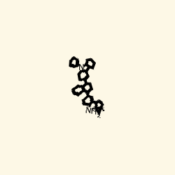 C[C@]12CCC(C3=CC(C4=CCC(C5=CC6C7CCCCC7N(C7=CCCC=C7)C6CC5)C5CCC=CC45)CC[C@@H]3N)[C@@]1(C)C2